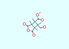 COC(=O)C1(C)C(C)(C=O)C2(C)C(=O)OC(=O)C12C